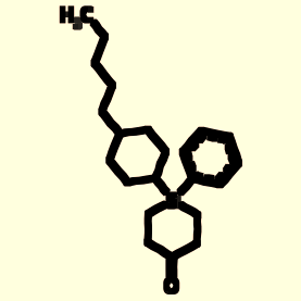 CCCCCC1CCC([Si]2(c3ccccc3)CCC(=O)CC2)CC1